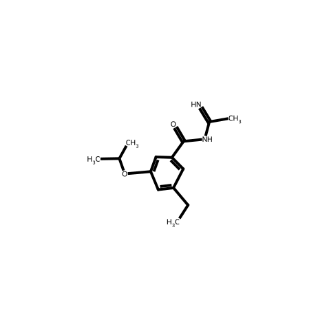 CCc1cc(OC(C)C)cc(C(=O)NC(C)=N)c1